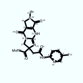 CNC(=O)C1(CC(=O)Nc2ccc(F)cn2)CN2C(=O)C3=C(NC2=N1)C(=O)N(C(C)C)C3